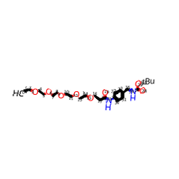 C#CCOCCOCCOCCOCCOCCC(=O)Nc1ccc(CNC(=O)OC(C)(C)C)cc1